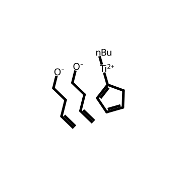 C=CCC[O-].C=CCC[O-].CCC[CH2][Ti+2][C]1=CC=CC1